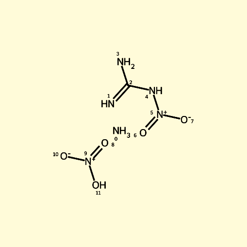 N.N=C(N)N[N+](=O)[O-].O=[N+]([O-])O